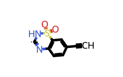 C#Cc1ccc2c(c1)S(=O)(=O)N[C]=N2